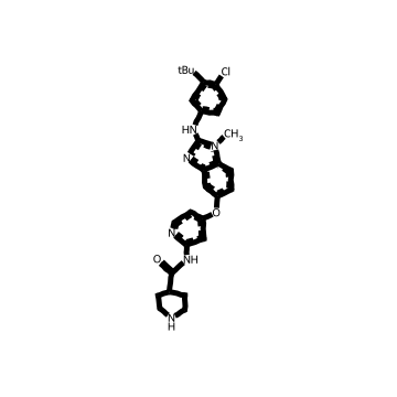 Cn1c(Nc2ccc(Cl)c(C(C)(C)C)c2)nc2cc(Oc3ccnc(NC(=O)C4CCNCC4)c3)ccc21